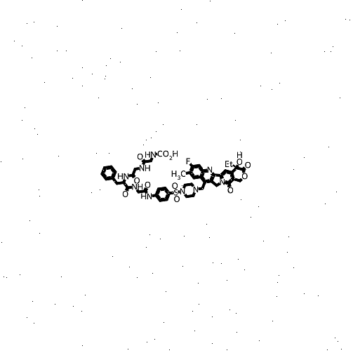 CC[C@@]1(O)C(=O)OCc2c1cc1n(c2=O)Cc2c-1nc1cc(F)c(C)cc1c2CN1CCN(S(=O)(=O)c2ccc(NC(=O)CNC(=O)C(Cc3ccccc3)NC(=O)CNC(=O)CNC(=O)O)cc2)CC1